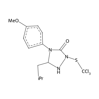 COc1ccc(N2C(=O)N(SC(Cl)(Cl)Cl)NC2CC(C)C)cc1